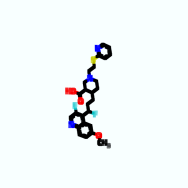 COc1ccc2ncc(F)c(C(F)CCC3CCN(CCSc4ccccn4)CC3C(=O)O)c2c1